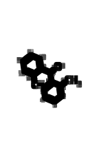 Cc1ccccc1C([O])c1ccccc1C